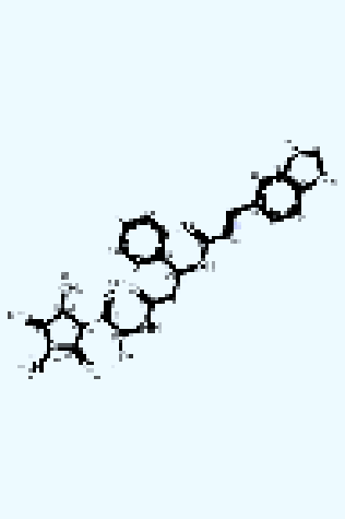 CC(C)[C@H](NC(=O)C[C@H](NC(=O)/C=C/c1ccc2c(c1)OCO2)c1ccccc1)C(=O)[C@@H]1C(=O)N(N)C(=O)[C@H]1C